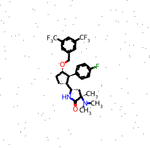 CN(C)[C@]1(C)C[C@@H]([C@@H]2CC[C@H](OCc3cc(C(F)(F)F)cc(C(F)(F)F)c3)[C@H]2c2ccc(F)cc2)NC1=O